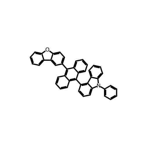 c1ccc(-n2c3ccccc3c3c(-c4c5ccccc5c(-c5ccc6oc7ccccc7c6c5)c5ccccc45)cccc32)cc1